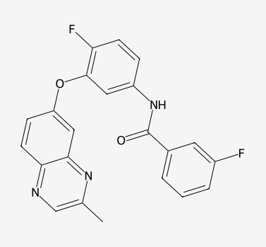 Cc1cnc2ccc(Oc3cc(NC(=O)c4cccc(F)c4)ccc3F)cc2n1